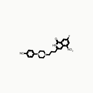 N#Cc1ccc(N2CCN(CCCc3cc4c([N+](=O)[O-])cc(F)cc4c(=O)[nH]3)CC2)cc1